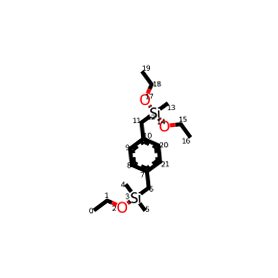 CCO[Si](C)(C)Cc1ccc(C[Si](C)(OCC)OCC)cc1